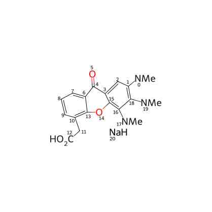 CNc1cc2c(=O)c3cccc(CC(=O)O)c3oc2c(NC)c1NC.[NaH]